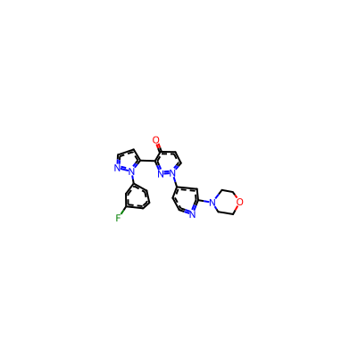 O=c1ccn(-c2ccnc(N3CCOCC3)c2)nc1-c1ccnn1-c1cccc(F)c1